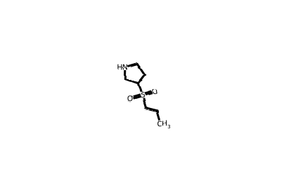 CCCS(=O)(=O)C1CCNC1